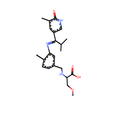 COCC(NCc1ccc(C)c(/N=C(/c2c[nH]c(=O)c(C)c2)C(C)C)c1)C(=O)O